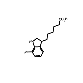 O=C(O)CCCCCC1CNc2c(Br)cccc21